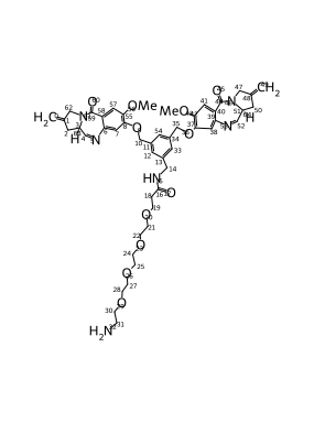 C=C1C[C@H]2C=Nc3cc(OCc4cc(CNC(=O)CCOCCOCCOCCOCCN)cc(COc5cc6c(cc5OC)C(=O)N5CC(=C)C[C@H]5C=N6)c4)c(OC)cc3C(=O)N2C1